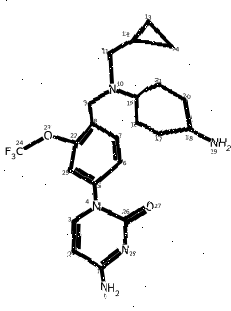 Nc1ccn(-c2ccc(CN(CC3CC3)C3CCC(N)CC3)c(OC(F)(F)F)c2)c(=O)n1